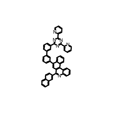 c1ccc(-c2nc(-c3cccc(-c4cccc(-c5cc6c(-c7ccc8ccccc8c7)nc7ccccc7c6c6ccccc56)c4)c3)nc(-c3ccccn3)n2)nc1